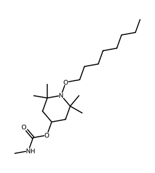 CCCCCCCCON1C(C)(C)CC(OC(=O)NC)CC1(C)C